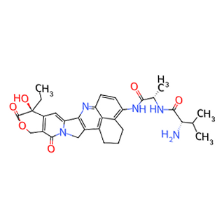 CC[C@@]1(O)C(=O)OCc2c1cc1n(c2=O)Cc2c-1nc1ccc(NC(=O)[C@H](C)NC(=O)[C@@H](N)C(C)C)c3c1c2CCC3